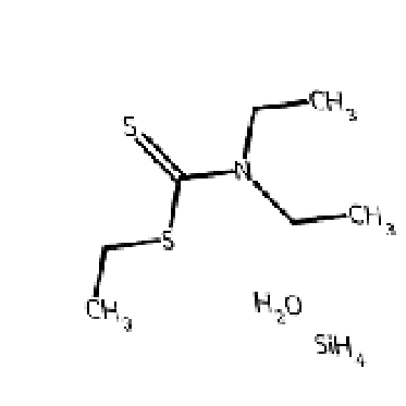 CCSC(=S)N(CC)CC.O.[SiH4]